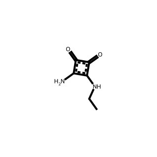 CCNc1c(N)c(=O)c1=O